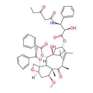 CCC(=O)CC(=O)N[C@@H](c1ccccc1)[C@@H](O)C(=O)O[C@H]1C[C@@]2(O)[C@@H](OC(=O)c3ccccc3)[C@@H]3[C@]4(OC(=O)c5ccccc5)CO[C@@H]4C[C@H](OC)[C@@]3(C)C(=O)[C@H](C)C(=C1C)C2(C)C